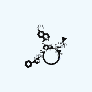 COc1ccc2c(O[C@@H]3C[C@H]4C(=O)N[C@]5(C(=O)NS(=O)(=O)C6CC6)C[C@H]5/C=C\CCCCCC[C@H](Nc5nc(-c6ccccc6)cs5)C(=O)N4C3)nccc2c1